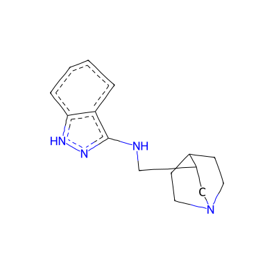 c1ccc2c(NCC3CN4CCC3CC4)n[nH]c2c1